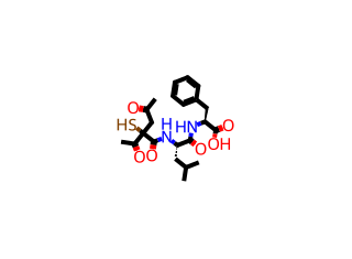 CC(=O)CC(S)(C(C)=O)C(=O)N[C@@H](CC(C)C)C(=O)N[C@@H](Cc1ccccc1)C(=O)O